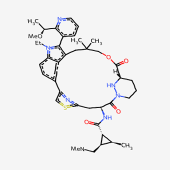 CCn1c(-c2cccnc2[C@H](C)OC)c2c3cc(ccc31)-c1csc(n1)C[C@H](NC(=O)[C@@H]1[C@@H](C)[C@H]1CNC)C(=O)N1CCC[C@H](N1)C(=O)OCC(C)(C)C2